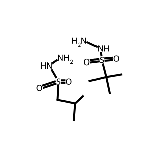 CC(C)(C)S(=O)(=O)NN.CC(C)CS(=O)(=O)NN